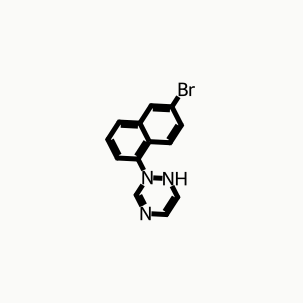 Brc1ccc2c(N3C=NC=CN3)cccc2c1